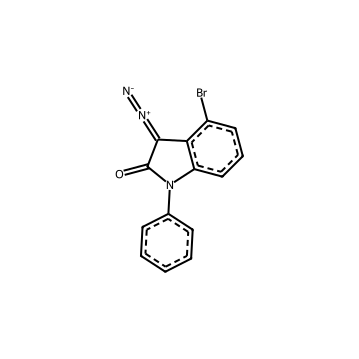 [N-]=[N+]=C1C(=O)N(c2ccccc2)c2cccc(Br)c21